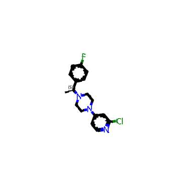 C[C@@H](c1ccc(F)cc1)N1CCN(c2ccnc(Cl)c2)CC1